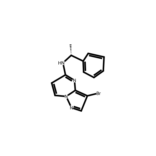 C[C@@H](Nc1ccn2ncc(Br)c2n1)c1ccccc1